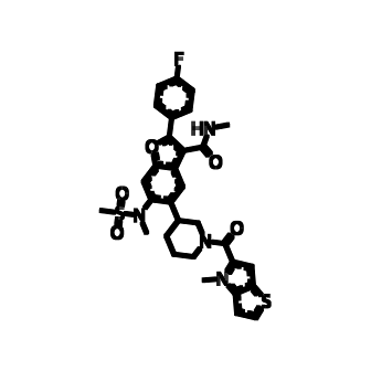 CNC(=O)c1c(-c2ccc(F)cc2)oc2cc(N(C)S(C)(=O)=O)c(C3CCCN(C(=O)c4cc5sccc5n4C)C3)cc12